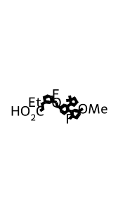 CC[C@@H](CC(=O)O)c1ccc(F)c(OCc2ccc(-c3cc(OC)ccc3F)c(C3=CCCC3(C)C)c2)c1